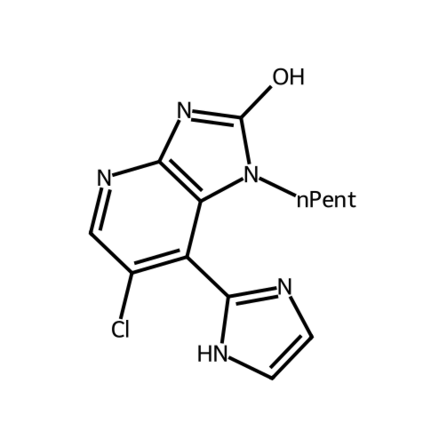 CCCCCn1c(O)nc2ncc(Cl)c(-c3ncc[nH]3)c21